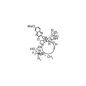 COc1ccc2nc(C)c(O[C@@H]3C[C@H]4C(=O)N[C@]5(C(=O)NS(=O)(=O)C6(C)CC6)C[C@H]5/C=C\CC[C@H](C)C[C@@H](C)[C@H](N(C(=O)O)C(C)(C)C(F)(F)F)C(=O)N4C3)nc2c1